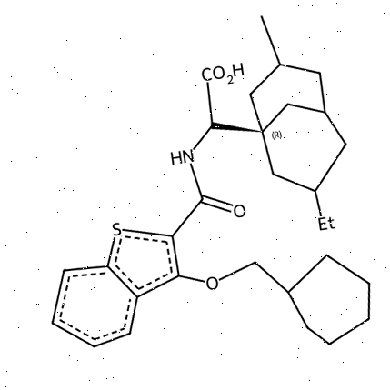 CCC1CC2CC(C)C[C@@](C(NC(=O)c3sc4ccccc4c3OCC3CCCCC3)C(=O)O)(C1)C2